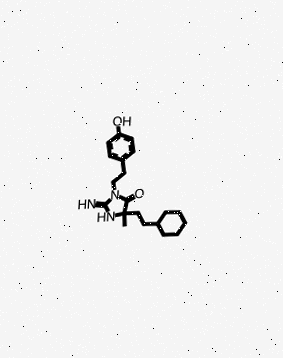 CC1(CCC2CCCCC2)NC(=N)N(CCc2ccc(O)cc2)C1=O